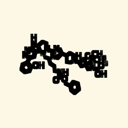 CC(C)(C)[C@H]1N(C(=O)O)CC12CC(N1CCC(c3cnc(N4CCc5[nH]c6nnc(-c7ccccc7O)cc6c5[C@H]4CCCCCNC(=O)OCc4ccccc4)nc3)CC1)C2